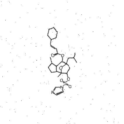 CC(C)CC12CC(OS(=O)(=O)n3ccnc3)C(C)(O1)C1CCC(C)C1C2OC(=O)/C=C/C1CCCCC1